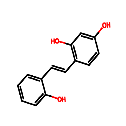 Oc1ccc(C=Cc2ccccc2O)c(O)c1